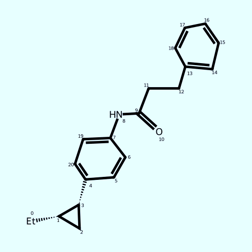 CC[C@H]1C[C@H]1c1ccc(NC(=O)CCc2ccccc2)cc1